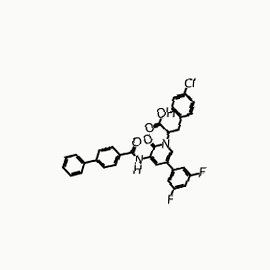 O=C(Nc1cc(-c2cc(F)cc(F)c2)cn(C(Cc2ccc(Cl)cc2)C(=O)O)c1=O)c1ccc(-c2ccccc2)cc1